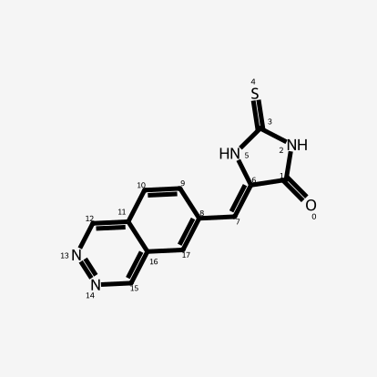 O=C1NC(=S)N/C1=C\c1ccc2cnncc2c1